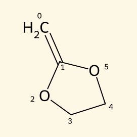 C=C1OCCO1